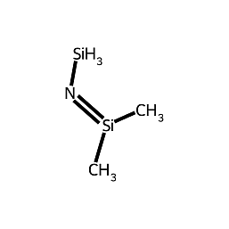 C[Si](C)=N[SiH3]